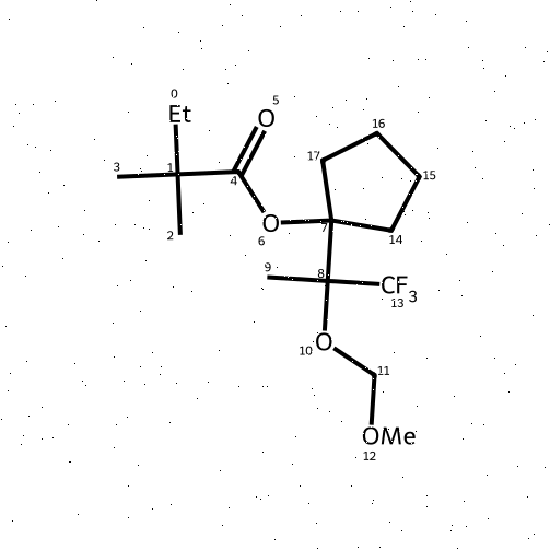 CCC(C)(C)C(=O)OC1(C(C)(OCOC)C(F)(F)F)CCCC1